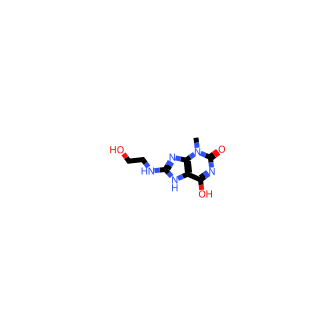 Cn1c(=O)nc(O)c2[nH]c(NCCO)nc21